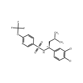 CN(C)C[C@H](NS(=O)(=O)c1ccc(OC(F)(F)F)nc1)c1ccc(Cl)c(Cl)c1